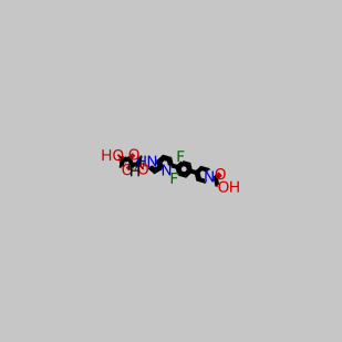 O=C(CO)N1CC=C(c2cc(F)c(-c3ccc4[nH]c(O[C@@H]5COC6[C@H](O)CO[C@@H]65)cc4n3)c(F)c2)CC1